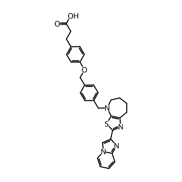 O=C(O)CCc1ccc(OCc2ccc(CN3CCCCc4nc(-c5cn6ccccc6n5)sc43)cc2)cc1